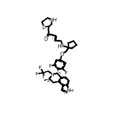 C[C@@H]1Cc2c(ccc3[nH]ncc23)[C@@H](c2c(F)cc(OCC3(NC/C=C/C(=O)C4CNCCO4)CCCC3)cc2F)N1CC(F)(F)F